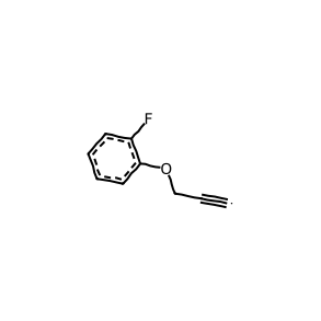 [C]#CCOc1ccccc1F